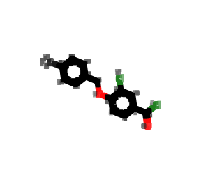 O=C(Cl)c1ccc(OCc2ccc(C(F)(F)F)cc2)c(Cl)c1